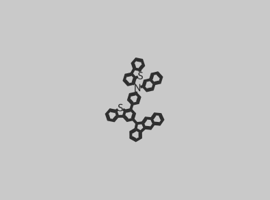 c1ccc2c(c1)-c1cc3ccccc3cc1C2c1cc(-c2ccc(N(c3ccc4ccccc4c3)c3cccc4c3sc3ccccc34)cc2)c2sc3ccccc3c2c1